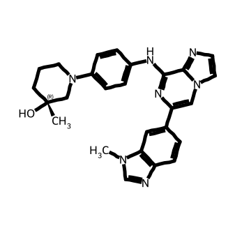 Cn1cnc2ccc(-c3cn4ccnc4c(Nc4ccc(N5CCC[C@@](C)(O)C5)cc4)n3)cc21